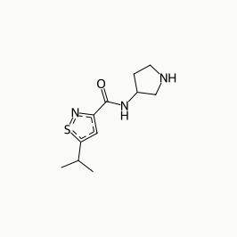 CC(C)c1cc(C(=O)NC2CCNC2)ns1